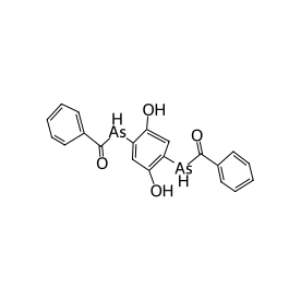 O=C([AsH]c1cc(O)c([AsH]C(=O)c2ccccc2)cc1O)c1ccccc1